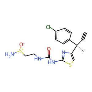 C#C[C@](C)(c1ccc(Cl)cc1)c1csc(NC(=O)NCC[S+](N)[O-])n1